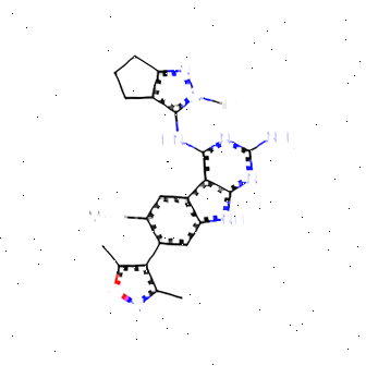 COc1cc2c(cc1-c1c(C)noc1C)[nH]c1nc(N)nc(Nc3c4c(nn3C(C)C)CCC4)c12